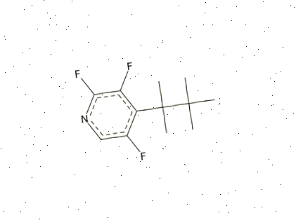 CC(C)(C)C(C)(C)c1c(F)cnc(F)c1F